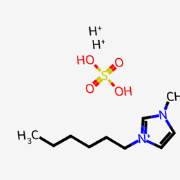 CCCCCC[n+]1ccn(C)c1.O=S(=O)(O)O.[H+].[H+]